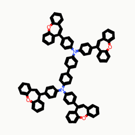 C1=C(c2ccc(N(c3ccc(C4=Cc5ccccc5Oc5ccccc54)cc3)c3ccc(-c4ccc(N(c5ccc(C6=Cc7ccccc7Oc7ccccc76)cc5)c5ccc(C6=Cc7ccccc7Oc7ccccc76)cc5)cc4)cc3)cc2)c2ccccc2Oc2ccccc21